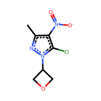 Cc1nn(C2COC2)c(Cl)c1[N+](=O)[O-]